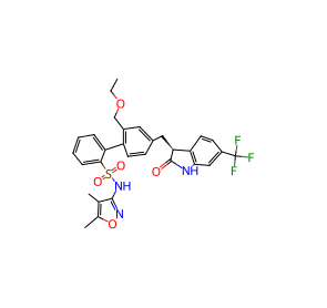 CCOCc1cc(C[C@@H]2C(=O)Nc3cc(C(F)(F)F)ccc32)ccc1-c1ccccc1S(=O)(=O)Nc1noc(C)c1C